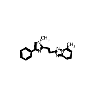 Cc1cccc2nc(C=Cc3nc(-c4ccccc4)cn3C)nn12